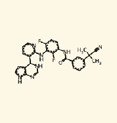 CC(C)(C#N)c1cccc(C(=O)Nc2ccc(F)c(Nc3ncccc3C3NC=Nc4[nH]ccc43)c2F)c1